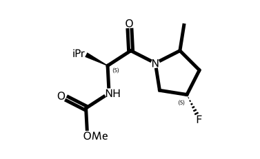 COC(=O)N[C@H](C(=O)N1C[C@@H](F)CC1C)C(C)C